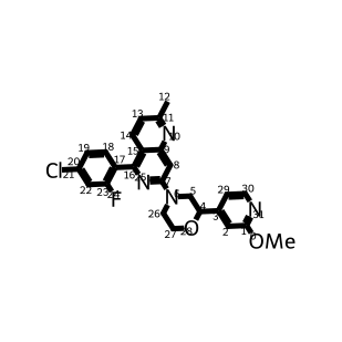 COc1cc(C2CN(c3cc4nc(C)ccc4c(-c4ccc(Cl)cc4F)n3)CCO2)ccn1